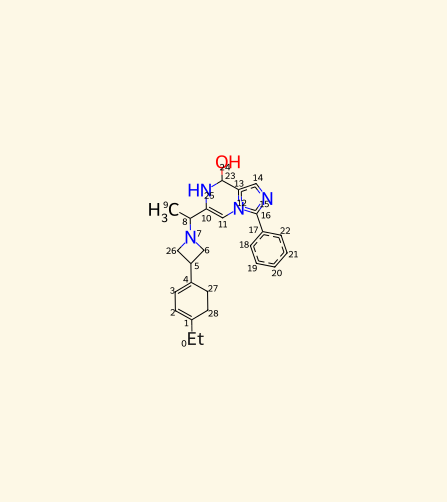 CCC1=CC=C(C2CN(C(C)C3=Cn4c(cnc4-c4ccccc4)C(O)N3)C2)CC1